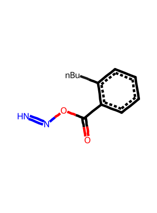 CCCCc1ccccc1C(=O)ON=N